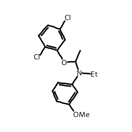 CCN(c1cccc(OC)c1)C(C)Oc1cc(Cl)ccc1Cl